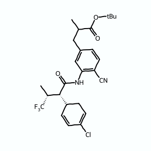 CC(Cc1ccc(C#N)c(NC(=O)[C@H](C2C=CC(Cl)=CC2)[C@@H](C)C(F)(F)F)c1)C(=O)OC(C)(C)C